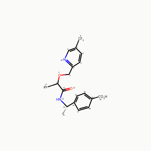 CC(C)C(OCc1ccc(C(F)(F)F)cn1)C(=O)N[C@@H](C)c1ccc(C(=O)O)cc1